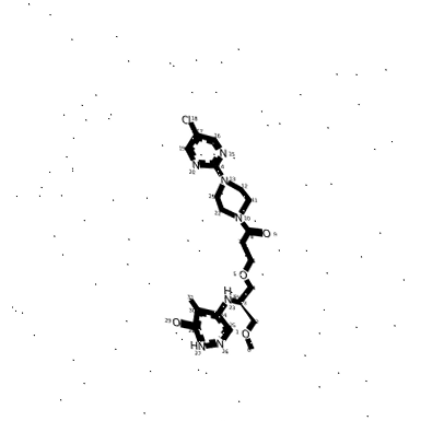 COC[C@H](COCCC(=O)N1CCN(c2ncc(Cl)cn2)CC1)Nc1cn[nH]c(=O)c1C